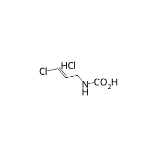 Cl.O=C(O)NCC=CCl